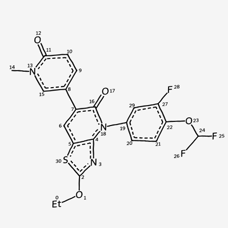 CCOc1nc2c(cc(-c3ccc(=O)n(C)c3)c(=O)n2-c2ccc(OC(F)F)c(F)c2)s1